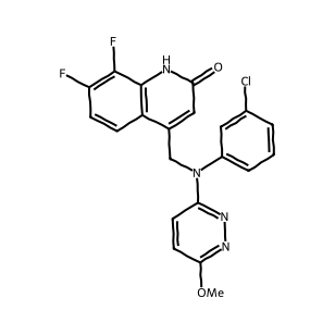 COc1ccc(N(Cc2cc(=O)[nH]c3c(F)c(F)ccc23)c2cccc(Cl)c2)nn1